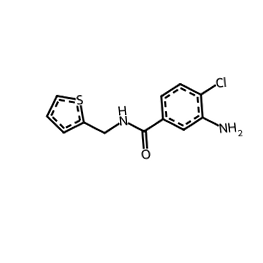 Nc1cc(C(=O)NCc2cccs2)ccc1Cl